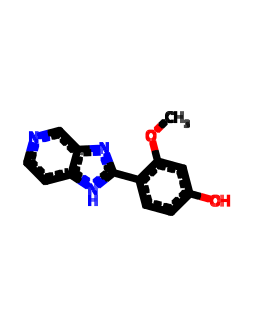 COc1cc(O)ccc1-c1nc2cnccc2[nH]1